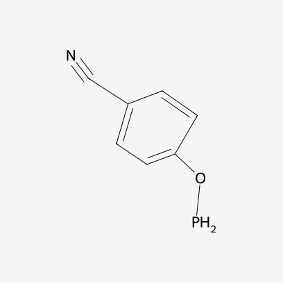 N#Cc1ccc(OP)cc1